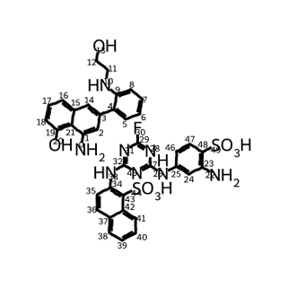 Nc1cc(-c2ccccc2NCCO)cc2cccc(O)c12.Nc1cc(Nc2nc(F)nc(Nc3ccc4ccccc4c3S(=O)(=O)O)n2)ccc1S(=O)(=O)O